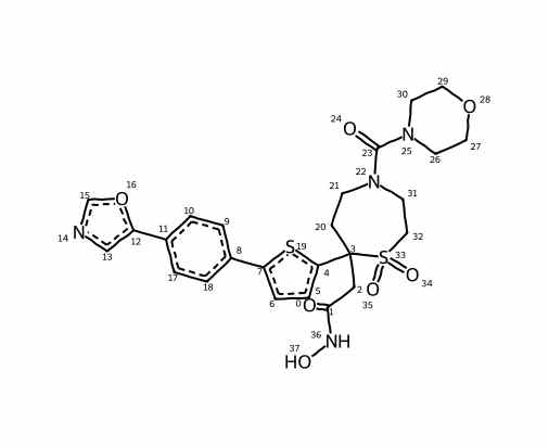 O=C(CC1(c2ccc(-c3ccc(-c4cnco4)cc3)s2)CCN(C(=O)N2CCOCC2)CCS1(=O)=O)NO